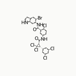 O=C(Nc1cc2[nH]ccc2cc1Br)c1cc(NC(=O)[C@H]2[C@H](c3cc(Cl)cc(Cl)c3)C2(Cl)Cl)ccc1Cl